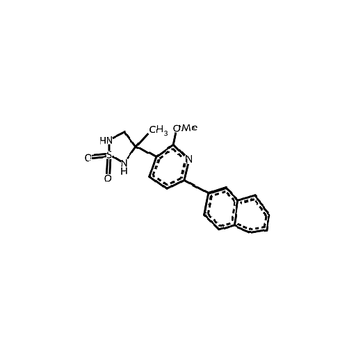 COc1nc(-c2ccc3ccccc3c2)ccc1C1(C)CNS(=O)(=O)N1